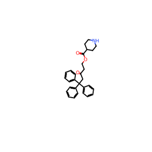 O=C(CCOC(=O)C1CCNCC1)CC(c1ccccc1)(c1ccccc1)c1ccccc1